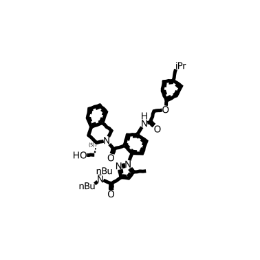 CCCCN(CCCC)C(=O)c1cc(C)n(-c2ccc(NC(=O)COc3ccc(C(C)C)cc3)cc2C(=O)N2Cc3ccccc3C[C@H]2CO)n1